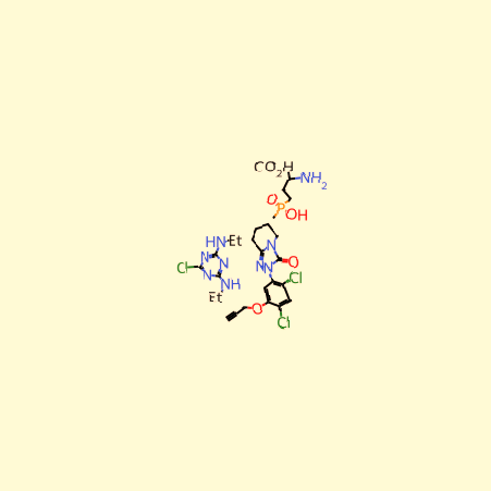 C#CCOc1cc(-n2nc3n(c2=O)CCCC3)c(Cl)cc1Cl.CCNc1nc(Cl)nc(NCC)n1.CP(=O)(O)CCC(N)C(=O)O